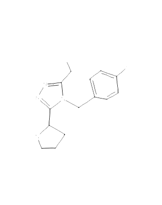 OCc1nnc(C2CCCN2)n1Cc1ccc(Cl)cc1